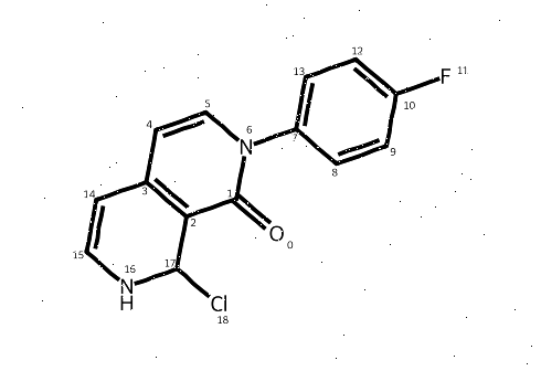 O=c1c2c(ccn1-c1ccc(F)cc1)C=CNC2Cl